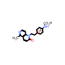 Cc1nccc2c1ccc(=O)n2CCC12CCC(NC(=O)O)(CC1)CO2